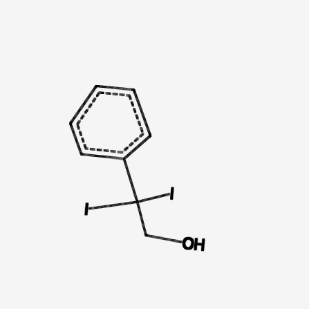 OCC(I)(I)c1ccccc1